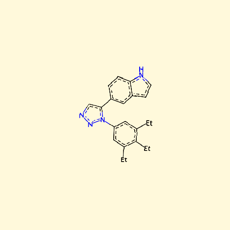 CCc1cc(-n2nncc2-c2ccc3[nH]ccc3c2)cc(CC)c1CC